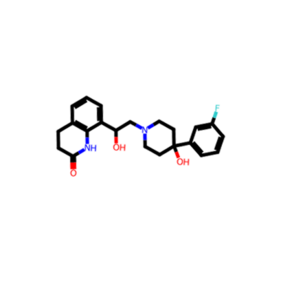 O=C1CCc2cccc(C(O)CN3CCC(O)(c4cccc(F)c4)CC3)c2N1